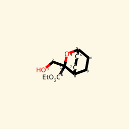 CCOC(=O)C1(CO)OC2CCC1CC2